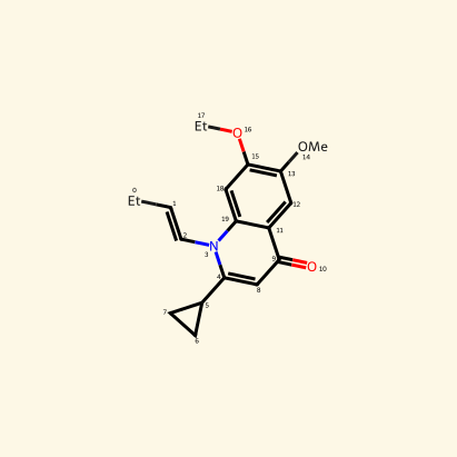 CCC=Cn1c(C2CC2)cc(=O)c2cc(OC)c(OCC)cc21